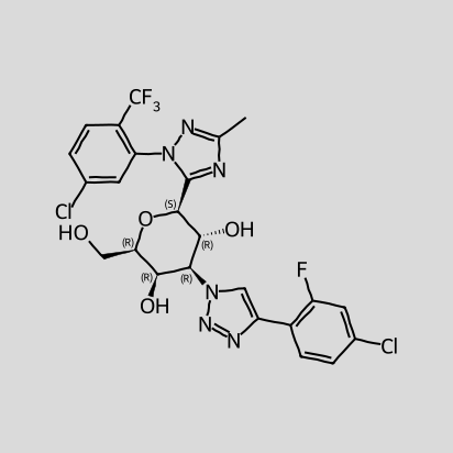 Cc1nc([C@@H]2O[C@H](CO)[C@H](O)[C@H](n3cc(-c4ccc(Cl)cc4F)nn3)[C@H]2O)n(-c2cc(Cl)ccc2C(F)(F)F)n1